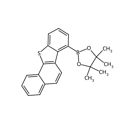 CC1(C)OB(c2cccc3sc4c5ccccc5ccc4c23)OC1(C)C